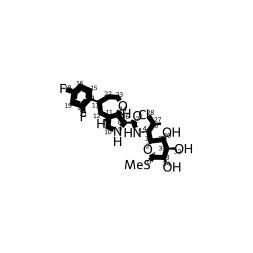 CSC1O[C@H]([C@H](NC(=O)[C@H]2NC[C@@H]3C[C@@H](c4ccc(F)cc4F)CCO[C@H]32)[C@H](C)Cl)C(O)[C@@H](O)[C@H]1O